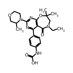 CCN1CC(C)(C)Oc2nc(N3CCOCC3C)nc(-c3ccc(NC(=O)O)cc3)c2C1=O